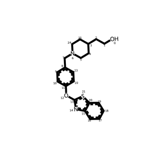 OCCC1CCN(Cc2ccc(Oc3nc4ccccc4s3)cc2)CC1